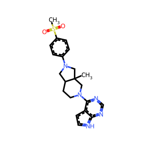 CC12CN(c3ccc(S(C)(=O)=O)cc3)CC1CCN(c1ncnc3[nH]ccc13)C2